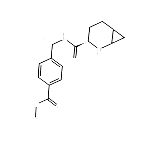 COC(=O)c1ccc([C@H](C)NC(=O)[C@H]2CCC3CC3N2)cc1